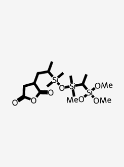 CO[Si](OC)(OC)C(C)[Si](C)(C)O[Si](C)(C)C(C)CC1CC(=O)OC1=O